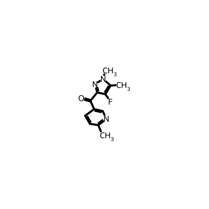 Cc1ccc(C(=O)c2nn(C)c(C)c2F)cn1